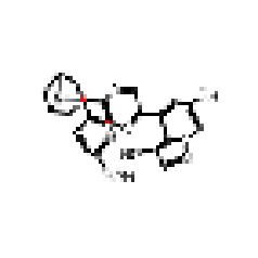 COc1ccc(CN2C3CC2CN(c2cnc(-c4cc(O)cn5ncc(C#N)c45)cn2)C3)cn1